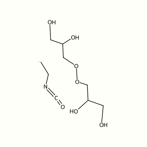 OCC(O)COOCC(O)CO.[CH2]CN=C=O